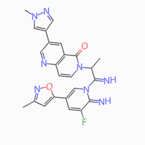 Cc1cc(-c2cc(F)c(=N)n(C(=N)C(C)n3ccc4ncc(-c5cnn(C)c5)cc4c3=O)c2)on1